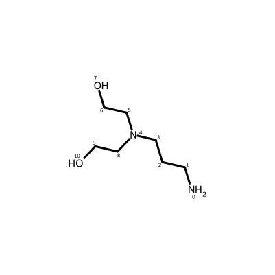 NCCCN(CCO)CCO